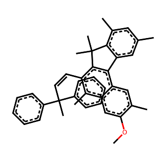 COc1cc2c(C)c(/C=C\C(C)(c3ccccc3)c3ccccc3)c3c(c2cc1C)-c1cc(C)cc(C)c1C3(C)C